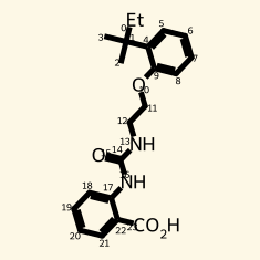 CCC(C)(C)c1ccccc1OCCNC(=O)Nc1ccccc1C(=O)O